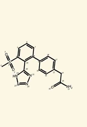 CS(=O)(=O)c1cccc(-c2ccc(CC(N)=O)cc2)c1-c1nnn[nH]1